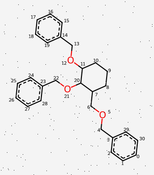 c1ccc(COCC2CCCC(OCc3ccccc3)C2OCc2ccccc2)cc1